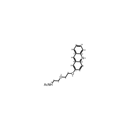 CC(=O)NCCOCCOc1ccc2nc3ccccc3cc2c1